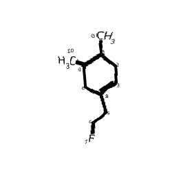 CC1CC=C(CCF)CC1C